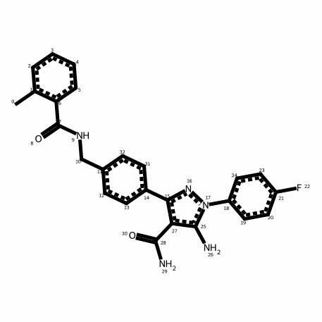 Cc1ccccc1C(=O)NCc1ccc(-c2nn(-c3ccc(F)cc3)c(N)c2C(N)=O)cc1